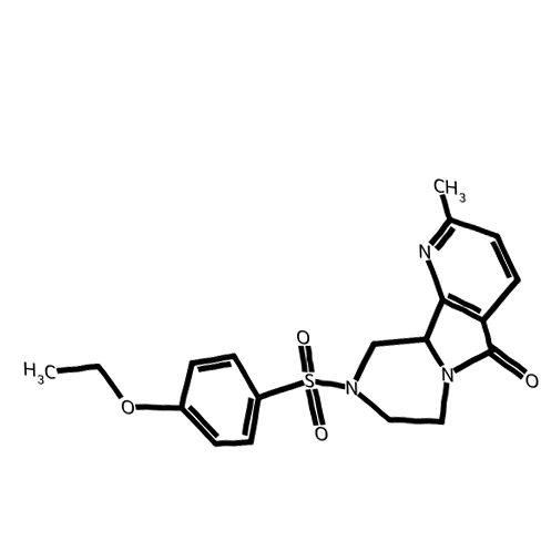 CCOc1ccc(S(=O)(=O)N2CCN3C(=O)c4ccc(C)nc4C3C2)cc1